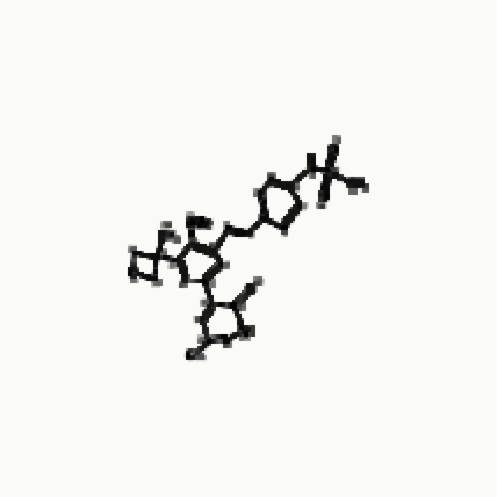 COc1c(C=Cc2ccc(NS(C)(=O)=O)cc2)cc(-c2cc(Cl)c[nH]c2=O)cc1C1(C)COC1